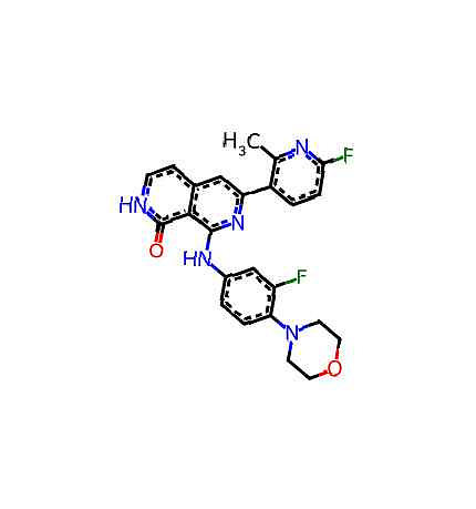 Cc1nc(F)ccc1-c1cc2cc[nH]c(=O)c2c(Nc2ccc(N3CCOCC3)c(F)c2)n1